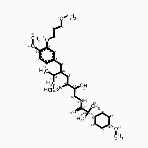 COCCCOc1cc(CC(CC(N)C(O)CNC(=O)C(C)(C)[C@H]2CC[C@@H](OC)CC2)C(C)C)ccc1OC.Cl